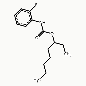 CCCCCC(CC)OC(=O)Nc1ccccc1F